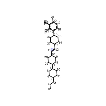 CCCC1CCC(C2C=CC(/C=C/C3CCC(c4ccc(C)c(F)c4F)CC3)CC2)CC1